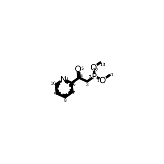 COP(CC(=O)c1ccccn1)OC